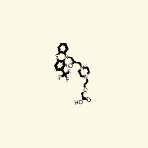 O=C(O)COCCN1CCN(CC(O)CN2c3ccccc3Sc3ccc(C(F)(F)F)cc32)CC1